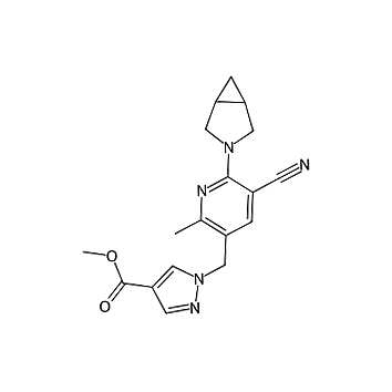 COC(=O)c1cnn(Cc2cc(C#N)c(N3CC4CC4C3)nc2C)c1